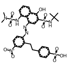 CN(C)S(=O)(=O)Nc1cccc2c(O)c(S(=O)(=O)NC(C)(C)C)cc(N=Nc3ccc([N+](=O)[O-])cc3CCc3ccc(S(=O)(=O)O)cc3)c12